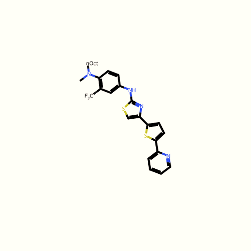 CCCCCCCCN(C)c1ccc(Nc2nc(-c3ccc(-c4ccccn4)s3)cs2)cc1C(F)(F)F